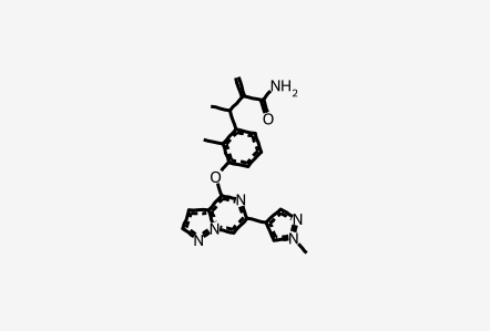 C=C(C(N)=O)C(C)c1cccc(Oc2nc(-c3cnn(C)c3)cn3nccc23)c1C